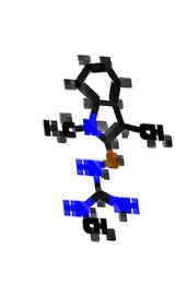 CNC(=N)NSc1c(C)c2ccccc2n1C